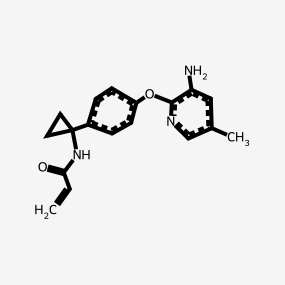 C=CC(=O)NC1(c2ccc(Oc3ncc(C)cc3N)cc2)CC1